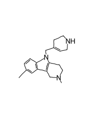 Cc1ccc2c(c1)c1c(n2CC2=CCNCC2)CCN(C)C1